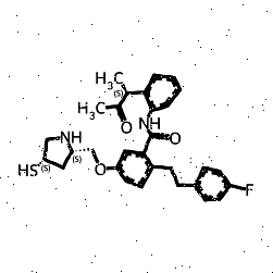 CC(=O)[C@@H](C)c1ccccc1NC(=O)c1cc(OC[C@@H]2C[C@H](S)CN2)ccc1CCc1ccc(F)cc1